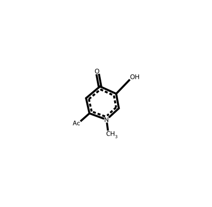 CC(=O)c1cc(=O)c(O)cn1C